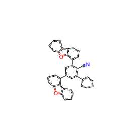 N#Cc1c(-c2ccccc2)cc(-c2cccc3oc4ccccc4c23)cc1-c1cccc2c1oc1ccccc12